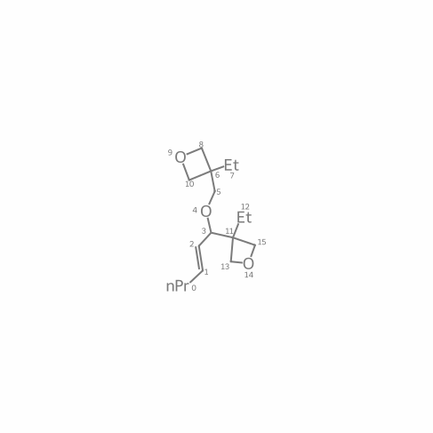 CCCC=CC(OCC1(CC)COC1)C1(CC)COC1